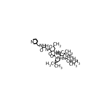 C=CCC(NC(=O)[C@@H]1C2C(CN1C(=O)[C@@H](NC(=O)OC(C)(C)C)C(C)(C)C)C2(C)C)C(=O)C(=O)NCC(=O)NCc1cccnc1